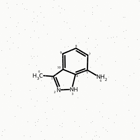 Cc1n[nH]c2c(N)cccc12